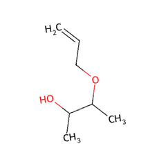 C=CCOC(C)C(C)O